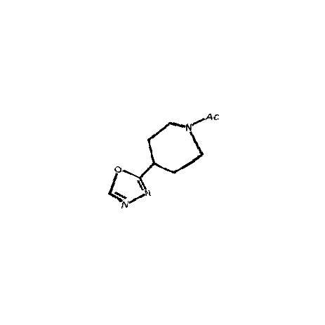 CC(=O)N1CCC(c2nnco2)CC1